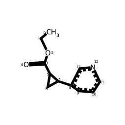 CCOC(=O)C1CC1c1cccnc1